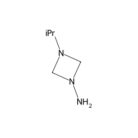 CC(C)N1CN(N)C1